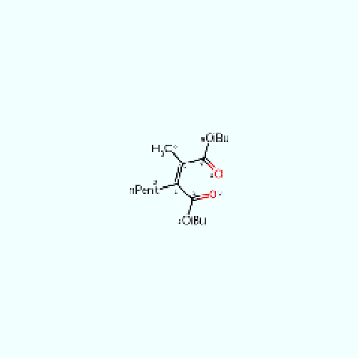 CCCCC/C(C(=O)OCC(C)C)=C(\C)C(=O)OCC(C)C